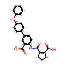 O=C(O)C1=C(C(=O)Nc2ccc(-c3ccc(Oc4ccccc4)cc3)cc2C(=O)O)CCC1